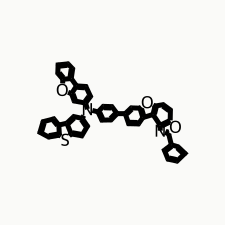 c1ccc(-c2nc3c(ccc4oc5cc(-c6ccc(N(c7ccc8c(c7)oc7ccccc78)c7ccc8sc9ccccc9c8c7)cc6)ccc5c43)o2)cc1